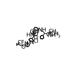 CC1(C)CC(C(CCNc2cccc(S(=O)(=O)NC(=O)c3ccc(-n4ccc(OCCC5(C(F)(F)F)CC5)n4)nc3Cl)n2)c2ccccc2)CN1